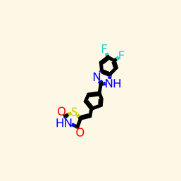 O=C1NC(=O)C(=Cc2ccc(-c3nc4cc(F)c(F)cc4[nH]3)cc2)S1